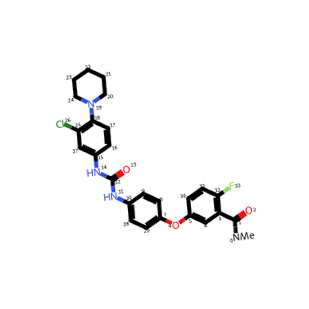 CNC(=O)c1cc(Oc2ccc(NC(=O)Nc3ccc(N4CCCCC4)c(Cl)c3)cc2)ccc1F